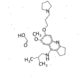 COc1cc2c(NCC(C)C)c3c(nc2cc1OCCCN1CCCC1)CCC3.O=CO